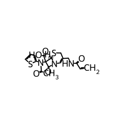 C=CC(=O)NCC1=CN2C(=O)C(C(=O)O)(N(C(C)=O)c3cccs3)[C@@H]2SC1